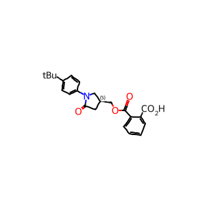 CC(C)(C)c1ccc(N2C[C@@H](COC(=O)c3ccccc3C(=O)O)CC2=O)cc1